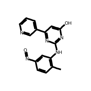 Cc1ccc(N=O)cc1Nc1nc(O)cc(-c2cccnc2)n1